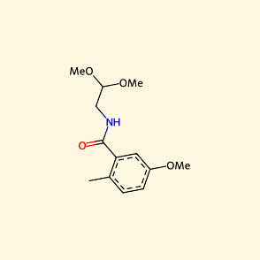 COc1ccc(C)c(C(=O)NCC(OC)OC)c1